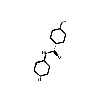 O=C(NC1CCNCC1)[C@H]1CC[C@H](O)CC1